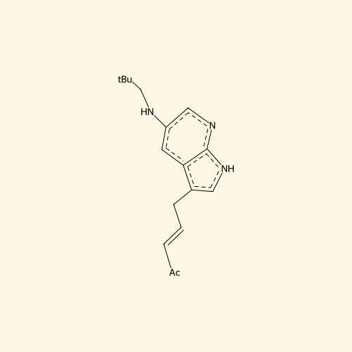 CC(=O)C=CCc1c[nH]c2ncc(NCC(C)(C)C)cc12